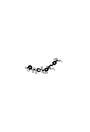 Cl.Cn1c(CCc2ccc(C(=N)N)cc2)nc2cc(C(=O)NN3CCC(NC(=O)Nc4cccc(Cl)c4Cl)CC3)ccc21